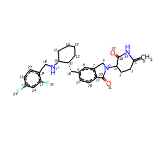 C=C1CCC(N2Cc3cc(C[C@H]4CCCC[C@@H]4NCc4ccc(F)cc4F)ccc3C2=O)C(=O)N1